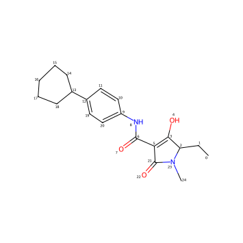 CCC1C(O)=C(C(=O)Nc2ccc(C3CCCCC3)cc2)C(=O)N1C